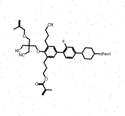 C=C(C)COCC(CC#N)(CC#N)COc1c(CCCC#N)cc(-c2ccc(C3CCC(CCCCC)CC3)cc2F)cc1CCCOC(=O)C(=C)C